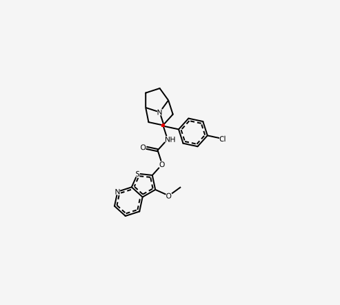 COc1c(OC(=O)NC2CC3CCC(C2)N3Cc2ccc(Cl)cc2)sc2ncccc12